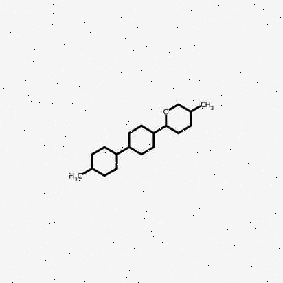 CC1CCC(C2CCC(C3CCC(C)CO3)CC2)CC1